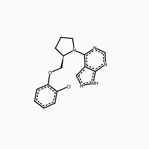 Clc1ccccc1OC[C@H]1CCCN1c1ncnc2[nH]ncc12